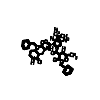 CC1(C)[C@@H]2[C@@H](C(=O)N[C@@H](C[C@@H]3CCCNC3=O)C(=O)OCc3ccccc3)N(C(=O)C(NC(=O)C(F)(F)F)C(=O)OCc3ccccc3)C[C@@H]21